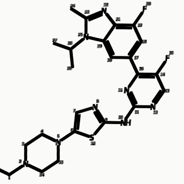 CCN1CCN(c2cnc(Nc3ncc(F)c(-c4cc(F)c5nc(C)n(C(C)C)c5c4)n3)s2)CC1